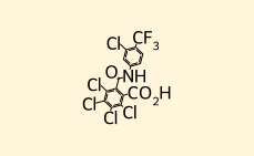 O=C(O)c1c(Cl)c(Cl)c(Cl)c(Cl)c1C(=O)Nc1ccc(C(F)(F)F)c(Cl)c1